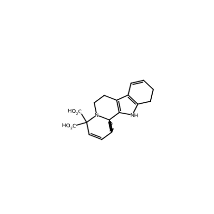 O=C(O)C1(C(=O)O)C=CC2=CC=COC23c2[nH]c4c(c2CCN13)C=CCC4